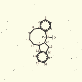 I[C@@H]1c2ccccc2CCCCC2c3ccccc3CC21